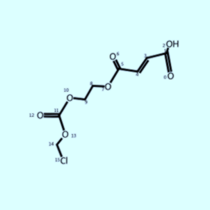 O=C(O)C=CC(=O)OCCOC(=O)OCCl